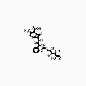 CC1=C(C(=O)O)N2C(=O)C(NC(=O)C(NC(=O)OC[C@@H](O)[C@H](O)[C@H](O)[C@@H](O)C=O)c3ccccc3)C2SC1